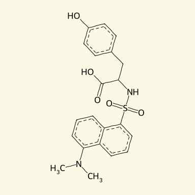 CN(C)c1cccc2c(S(=O)(=O)NC(Cc3ccc(O)cc3)C(=O)O)cccc12